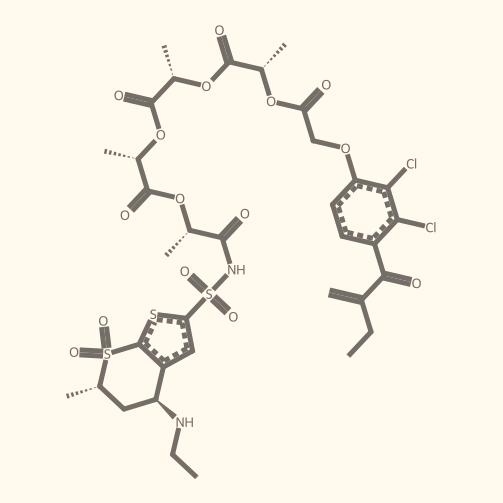 C=C(CC)C(=O)c1ccc(OCC(=O)O[C@@H](C)C(=O)O[C@@H](C)C(=O)O[C@@H](C)C(=O)O[C@@H](C)C(=O)NS(=O)(=O)c2cc3c(s2)S(=O)(=O)[C@@H](C)C[C@@H]3NCC)c(Cl)c1Cl